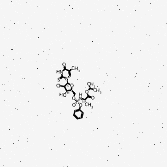 Cc1cn([C@H]2OC(COP(=O)(N[C@@H](C)C(=O)OC(C)C)Oc3ccccc3)[C@@H](O)C2Cl)c(=S)[nH]c1=O